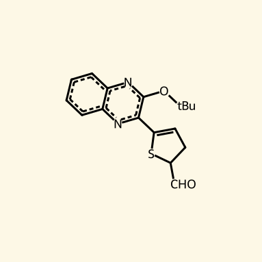 CC(C)(C)Oc1nc2ccccc2nc1C1=CCC(C=O)S1